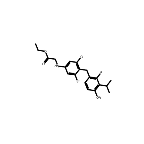 CCOC(=O)CNc1cc(Cl)c(Cc2ccc(O)c(C(C)C)c2F)c(Cl)c1